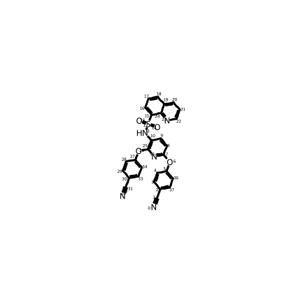 N#Cc1ccc(Oc2ccc(NS(=O)(=O)c3cccc4cccnc34)c(Oc3ccc(C#N)cc3)n2)cc1